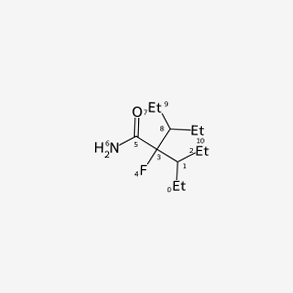 CCC(CC)C(F)(C(N)=O)C(CC)CC